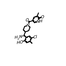 Cc1cc(O)c([C@H](N)C2CCN(C(=O)c3c[nH]c(=O)c(C)c3)CC2)cc1Cl